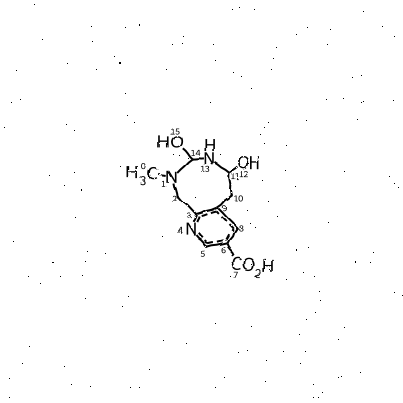 CN1Cc2ncc(C(=O)O)cc2CC(O)NC1O